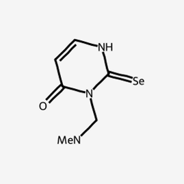 CNCn1c(=O)cc[nH]c1=[Se]